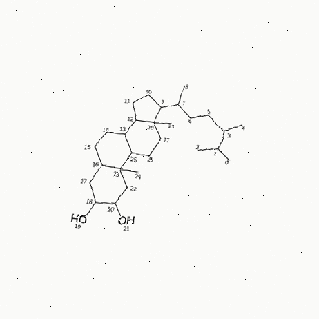 CC(C)C(C)CCC(C)C1CCC2C3CCC4CC(O)C(O)CC4(C)C3CCC12C